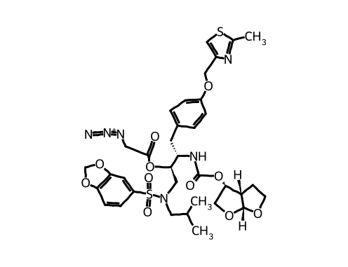 Cc1nc(COc2ccc(C[C@H](NC(=O)O[C@H]3CO[C@H]4OCC[C@H]43)[C@@H](CN(CC(C)C)S(=O)(=O)c3ccc4c(c3)OCO4)OC(=O)CN=[N+]=[N-])cc2)cs1